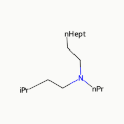 [CH2]CCN(CCCCCCCCC)CCC(C)C